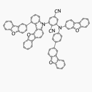 N#Cc1cc(N(c2ccc(-c3ccc4oc5ccccc5c4c3)cc2)c2ccc3c(c2)oc2ccccc23)c(C#N)c(-n2c3cccc(-c4ccc5oc6ccccc6c5c4)c3c3c4oc5ccccc5c4ccc32)c1